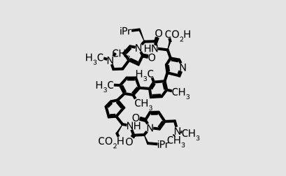 Cc1ccc(-c2ccc(C)c(-c3cncc([C@H](CC(=O)O)NC(=O)[C@H](CC(C)C)n4ccc(CCN(C)C)cc4=O)c3)c2C)c(C)c1-c1cccc([C@H](CC(=O)O)NC(=O)[C@H](CC(C)C)n2cc(CN(C)C)ccc2=O)c1